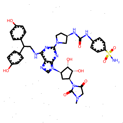 CN1CC(=O)N([C@H]2C[C@@H](n3cnc4c(NCC(c5ccc(O)cc5)c5ccc(O)cc5)nc(N5CC[C@@H](NC(=O)Nc6ccc(S(N)(=O)=O)cc6)C5)nc43)[C@H](O)[C@@H]2O)C1=O